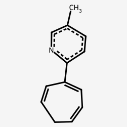 Cc1ccc(C2=CC=CCC=C2)nc1